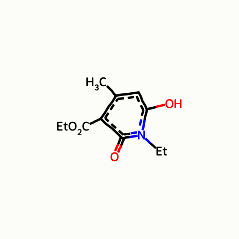 CCOC(=O)c1c(C)cc(O)n(CC)c1=O